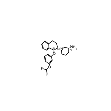 N[C@@H]1CCCN([C@H]2CCc3ccccc3[C@@H]2Oc2cccc(OC(F)F)c2)C1